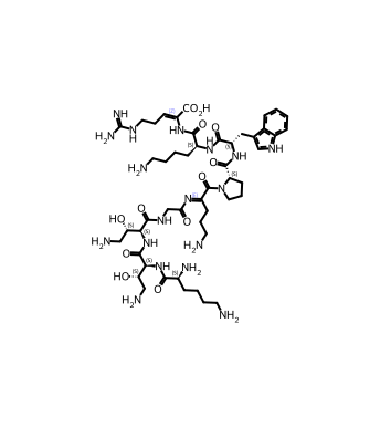 N=C(N)NCC/C=C(\NC(=O)[C@H](CCCCN)NC(=O)[C@H](Cc1c[nH]c2ccccc12)NC(=O)[C@@H]1CCCN1C(=O)/C(CCCN)=N/C(=O)CNC(=O)[C@@H](NC(=O)[C@@H](NC(=O)[C@@H](N)CCCCN)[C@@H](O)CN)[C@@H](O)CN)C(=O)O